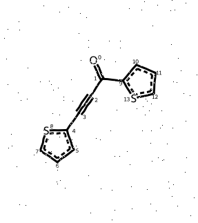 O=C(C#Cc1cccs1)c1cccs1